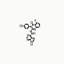 C[C@@H](Nc1ncnc2[nH]cnc12)c1nc2cccc(F)c2c(=O)n1-c1ccc(Cl)cc1